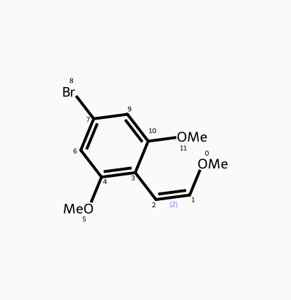 CO/C=C\c1c(OC)cc(Br)cc1OC